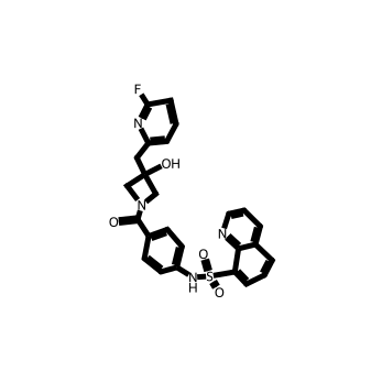 O=C(c1ccc(NS(=O)(=O)c2cccc3cccnc23)cc1)N1CC(O)(Cc2cccc(F)n2)C1